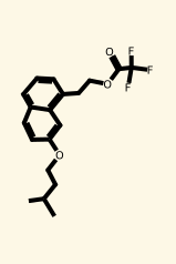 CC(C)CCOc1ccc2cccc(CCOC(=O)C(F)(F)F)c2c1